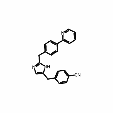 N#Cc1ccc(Cc2cnc(Cc3ccc(-c4ccccn4)cc3)[nH]2)cc1